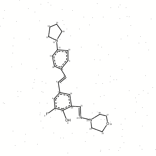 Oc1c(F)cc(/C=C/c2ccc(N3CCCC3)cc2)cc1/C=N/N1CCOCC1